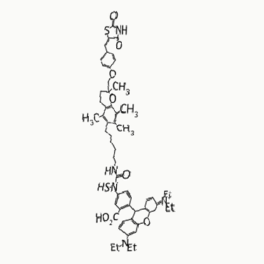 CCN(CC)c1ccc2c(c1)OC1=C(C=CC(=[N+](CC)CC)C1)C2c1ccc(N(S)C(=O)NCCCCCCc2c(C)c(C)c3c(c2C)CCC(C)(COc2ccc(C=C4SC(=O)NC4=O)cc2)O3)cc1C(=O)O